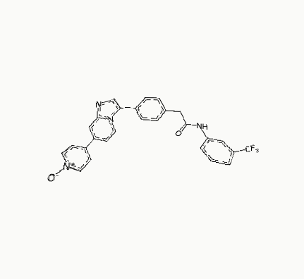 O=C(Cc1ccc(-c2cnc3cc(-c4cc[n+]([O-])cc4)ccn23)cc1)Nc1cccc(C(F)(F)F)c1